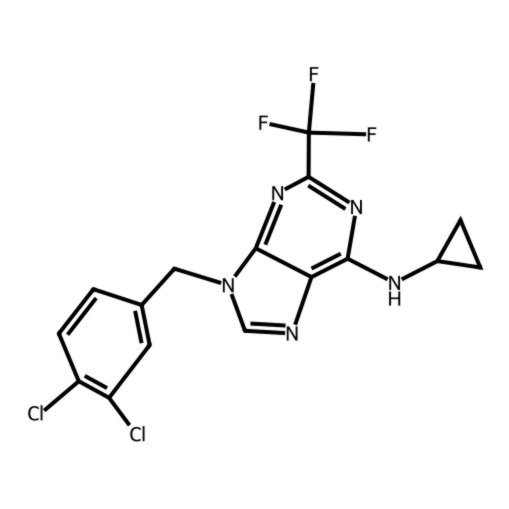 FC(F)(F)c1nc(NC2CC2)c2ncn(Cc3ccc(Cl)c(Cl)c3)c2n1